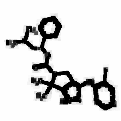 CN(C)C[C@@H](OC(=O)N1Cc2c(Nc3ncncc3F)n[nH]c2C1(C)C)c1ccccc1